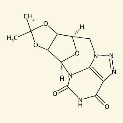 CC1(C)OC2C(O1)[C@H]1Cn3nnc4c(=O)[nH]c(=O)n(c43)[C@@H]2O1